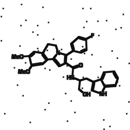 COc1cc2c(cc1OC)-c1cc(C(=O)NC(CO)Cc3c[nH]c4ccccc34)c(-c3ccc(F)cc3)n1CC2